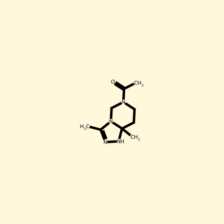 CC(=O)N1CCC2(C)NN=C(C)N2C1